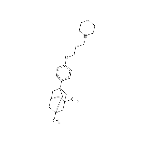 CC12CC3CC(C)(C1)CC(c1ccc(OCCCN4CCCCC4)cc1)(C3)C2